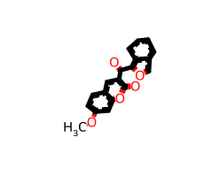 COc1ccc2cc(C(=O)c3occ4ccccc34)c(=O)oc2c1